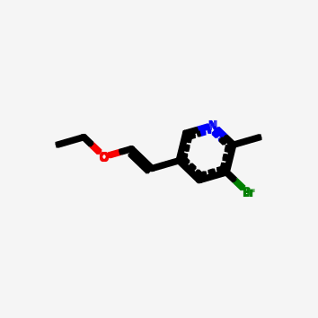 CCO/C=C/c1cnc(C)c(Br)c1